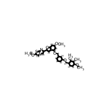 COc1cc(OCc2cccc(OCc3ccc(OC)c(C)c3C)c2)c2cc(-c3cn4nc(OC)sc4n3)oc2c1